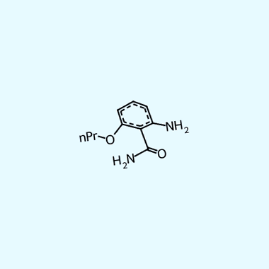 CCCOc1cccc(N)c1C(N)=O